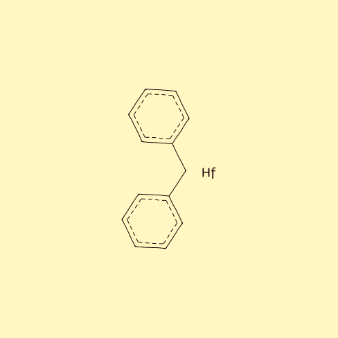 [Hf].c1ccc(Cc2ccccc2)cc1